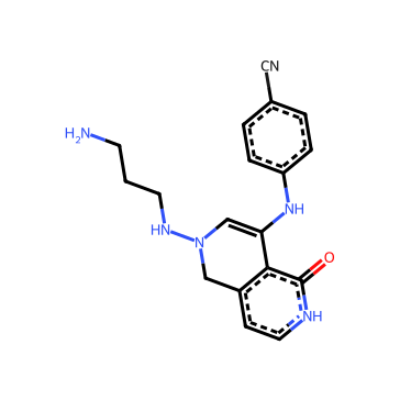 N#Cc1ccc(NC2=CN(NCCCN)Cc3cc[nH]c(=O)c32)cc1